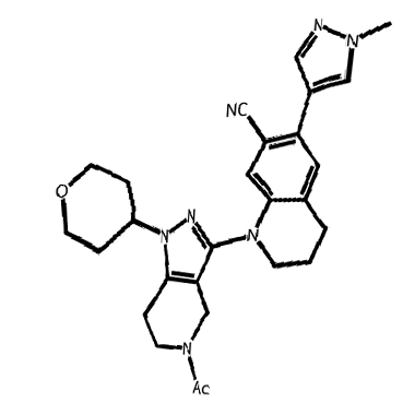 CC(=O)N1CCc2c(c(N3CCCc4cc(-c5cnn(C)c5)c(C#N)cc43)nn2C2CCOCC2)C1